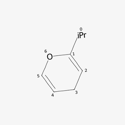 CC(C)C1=CCC=CO1